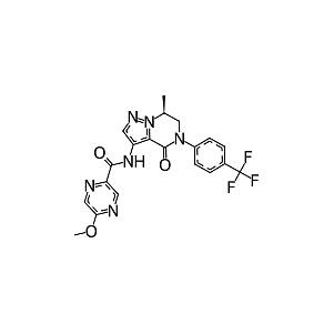 COc1cnc(C(=O)Nc2cnn3c2C(=O)N(c2ccc(C(F)(F)F)cc2)C[C@@H]3C)cn1